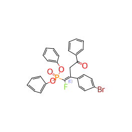 O=C(C/C(=C(/F)P(=O)(Oc1ccccc1)Oc1ccccc1)c1ccc(Br)cc1)c1ccccc1